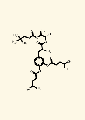 CC(C)CCC(=O)Oc1ccc(C[C@H](N)C(=O)O[C@@H](C)C(C)OC(=O)OCC(C)(C)C)cc1OC(=O)CCC(C)C